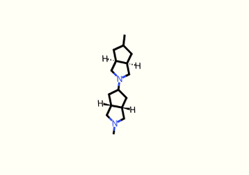 CC1C[C@@H]2CN(C3C[C@@H]4CN(C)C[C@@H]4C3)C[C@@H]2C1